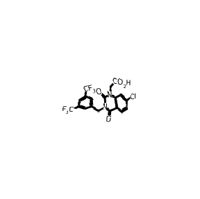 O=C(O)Cn1c(=O)n(Cc2cc(C(F)(F)F)cc(C(F)(F)F)c2)c(=O)c2ccc(Cl)cc21